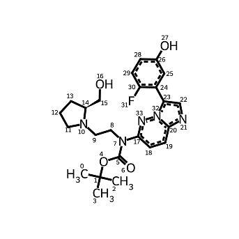 CC(C)(C)OC(=O)N(CCN1CCC[C@H]1CO)c1ccc2ncc(-c3cc(O)ccc3F)n2n1